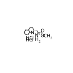 COC(=O)[C@@H](N)Cc1ccc2ccccc2n1.Cl.Cl